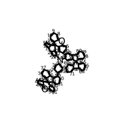 c1ccc2c(c1)Oc1ccccc1C21c2ccccc2-c2ccc(N(c3ccc(-c4cccc5c4-c4ccccc4C54c5ccccc5Oc5ccccc54)cc3)c3ccc4c(c3)C3(c5ccccc5-c5ccccc53)c3ccccc3-4)cc21